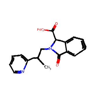 CC(CN1C(=O)c2ccccc2C1C(=O)O)c1ccccn1